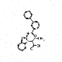 CCC(C(=O)O)n1/c(=N\C(=O)c2cccc(-c3ccccc3)c2)sc2ccccc21